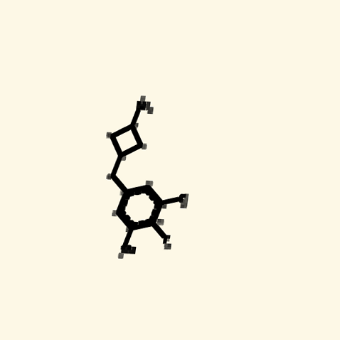 CC(C)(C)c1cc(CC2CC(N)C2)cc(Cl)c1F